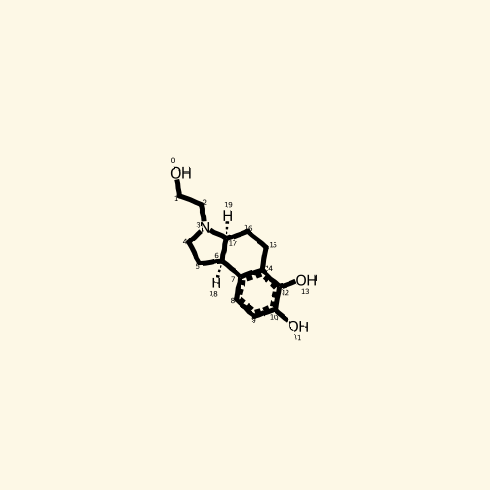 OCCN1CC[C@@H]2c3ccc(O)c(O)c3CC[C@@H]21